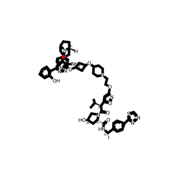 CC(C)[C@H](C(=O)N1C[C@H](O)C[C@H]1C(=O)N[C@@H](C)c1ccc(-c2nncs2)cc1)c1cc(OCCN2CCC(OC3CC(Oc4cc(N5C6CC[C@@H]5CN(c5cc(-c7ccccc7O)nnc5N)C6)ccn4)C3)CC2)no1